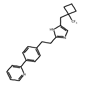 FC(F)(F)C1(Cc2cnc(CCc3ccc(-c4ccccn4)cc3)[nH]2)CCC1